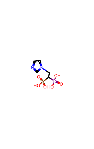 O=P(O)(O)C(Cn1ccnc1)S(=O)(=O)O